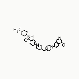 C[C@H]1CC[C@H](NC(=O)c2ccc(N3CCC(CN4CCN(c5ccc6c(c5)C=NCC6=O)CC4)CC3)cc2)CC1